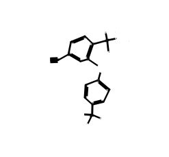 C#Cc1ccc(C(C)(C)C)c(Oc2ccc(C(F)(F)F)cc2)c1